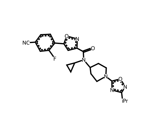 CC(C)c1noc(N2CCC(N(C(=O)c3cc(-c4ccc(C#N)cc4F)on3)C3CC3)CC2)n1